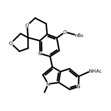 CCCCOc1cc(-c2cn(C)c3cnc(NC(C)=O)cc23)nc2c1CCOC21CCOC1